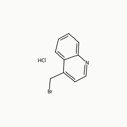 BrCc1ccnc2ccccc12.Cl